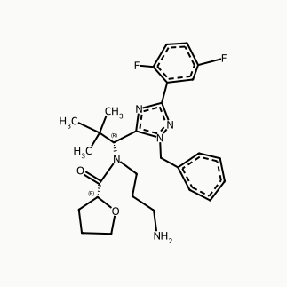 CC(C)(C)[C@H](c1nc(-c2cc(F)ccc2F)nn1Cc1ccccc1)N(CCCN)C(=O)[C@H]1CCCO1